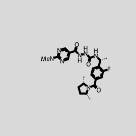 CNc1ncc(C(=O)NNC(=O)N[C@H](C)c2ccc(C(=O)N3[C@H](C)CC[C@@H]3C)cc2F)cn1